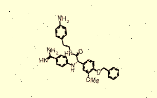 COc1cc([C@H](Nc2ccc(C(=N)N)cc2)C(=O)NCCc2ccc(N)cc2)ccc1OCc1ccccc1